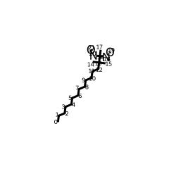 CCCCCCCCCCCCCC(C)(C)C(C)(N=O)N=O